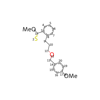 COC(=S)c1ccccc1CCCOCc1ccc(OC)cc1